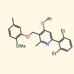 CCc1cccc(CC)c1-c1cc(OC(C)C)c(COc2cc(C)ccc2OC)c(C)n1